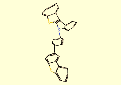 c1ccc2c(c1)sc1ccc(-c3ccc(-n4c5ccccc5c5c6ccccc6sc54)cc3)cc12